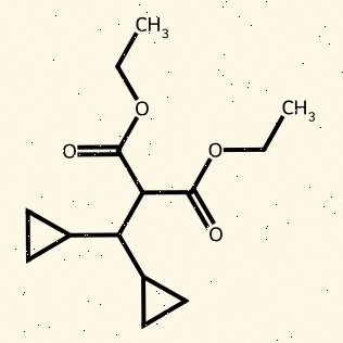 CCOC(=O)C(C(=O)OCC)C(C1CC1)C1CC1